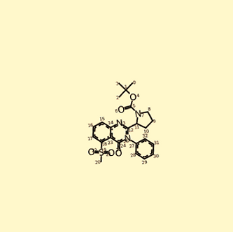 CC(C)(C)OC(=O)N1CCCC1c1nc2cccc(S(C)(=O)=O)c2c(=O)n1-c1ccccc1